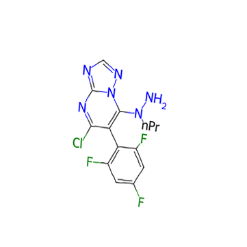 CCCN(N)c1c(-c2c(F)cc(F)cc2F)c(Cl)nc2ncnn12